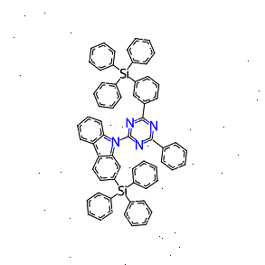 c1ccc(-c2nc(-c3cccc([Si](c4ccccc4)(c4ccccc4)c4ccccc4)c3)nc(-n3c4ccccc4c4ccc([Si](c5ccccc5)(c5ccccc5)c5ccccc5)cc43)n2)cc1